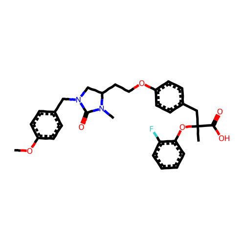 COc1ccc(CN2CC(CCOc3ccc(CC(C)(Oc4ccccc4F)C(=O)O)cc3)N(C)C2=O)cc1